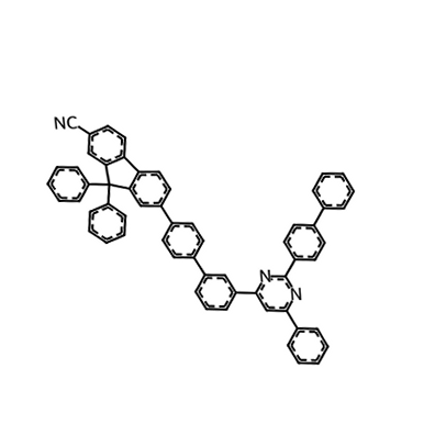 N#Cc1ccc2c(c1)C(c1ccccc1)(c1ccccc1)c1cc(-c3ccc(-c4cccc(-c5cc(-c6ccccc6)nc(-c6ccc(-c7ccccc7)cc6)n5)c4)cc3)ccc1-2